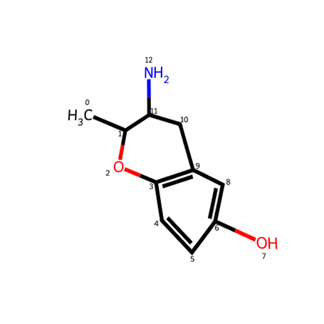 CC1Oc2ccc(O)cc2CC1N